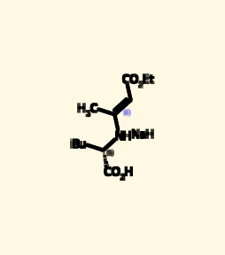 CCOC(=O)/C=C(\C)N[C@H](C(=O)O)C(C)CC.[NaH]